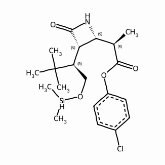 C[C@@H](C(=O)Oc1ccc(Cl)cc1)[C@H]1NC(=O)[C@H]1[C@@H](CO[SiH](C)C)C(C)(C)C